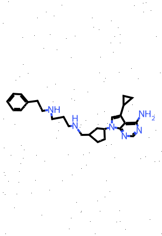 Nc1ncnc2c1c(C1CC1)cn2C1CCC(CNCCCNCCc2ccccc2)C1